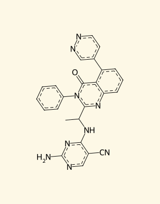 CC(Nc1nc(N)ncc1C#N)c1nc2cccc(-c3ccnnc3)c2c(=O)n1-c1ccccc1